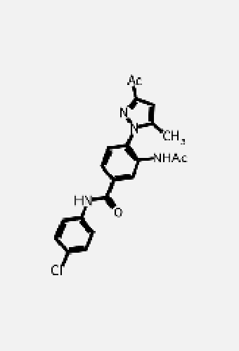 CC(=O)Nc1cc(C(=O)Nc2ccc(Cl)cc2)ccc1-n1nc(C(C)=O)cc1C